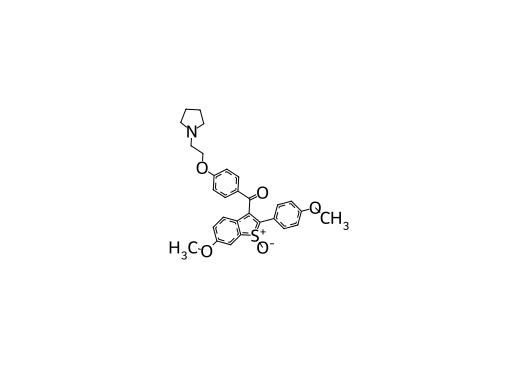 COc1ccc(-c2c(C(=O)c3ccc(OCCN4CCCC4)cc3)c3ccc(OC)cc3[s+]2[O-])cc1